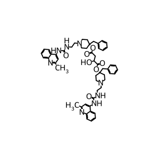 Cc1cc(NC(=O)NCCN2CCC(Cc3ccccc3)(OC(=O)CC(O)C(=O)OC3(Cc4ccccc4)CCN(CCNC(=O)Nc4cc(C)nc5ccccc45)CC3)CC2)c2ccccc2n1